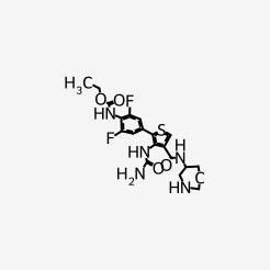 CCOC(=O)Nc1c(F)cc(-c2scc(C(=O)NC3CCCNC3)c2NC(N)=O)cc1F